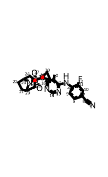 Cc1c(Nc2ccc(C#N)cc2F)ncnc1OC1CC2CCC(C1)N2S(=O)(=O)C1CC1